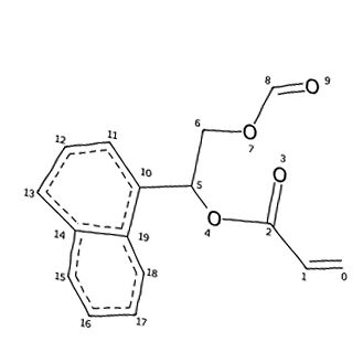 C=CC(=O)OC(COC=O)c1cccc2ccccc12